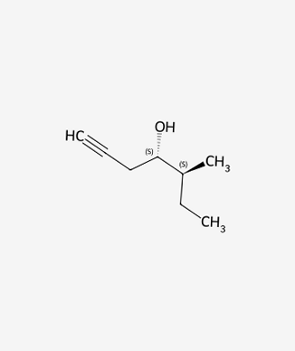 C#CC[C@H](O)[C@@H](C)CC